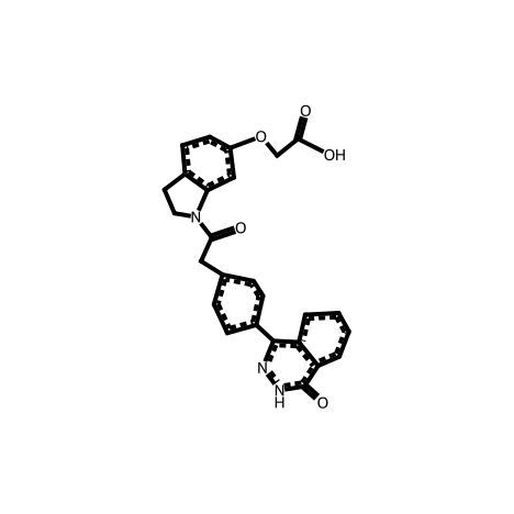 O=C(O)COc1ccc2c(c1)N(C(=O)Cc1ccc(-c3n[nH]c(=O)c4ccccc34)cc1)CC2